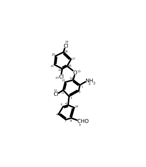 Nc1cc(-c2cccc(C=O)c2)c(Cl)cc1Oc1cc(Cl)ccc1Cl